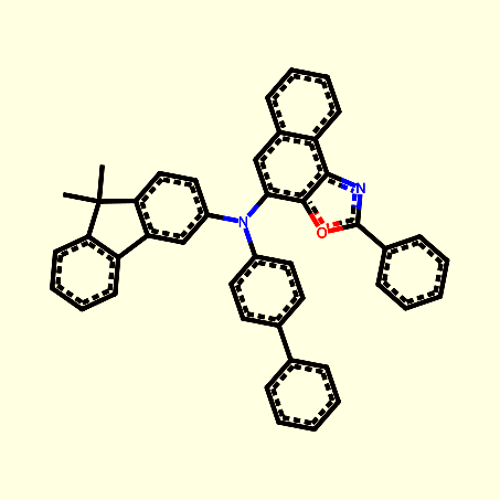 CC1(C)c2ccccc2-c2cc(N(c3ccc(-c4ccccc4)cc3)c3cc4ccccc4c4nc(-c5ccccc5)oc34)ccc21